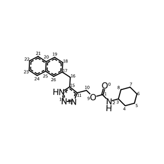 O=C(NC1CCCCC1)OCc1nn[nH]c1Cc1ccc2ccccc2c1